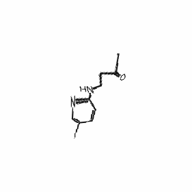 CC(=O)CCNc1ccc(I)cn1